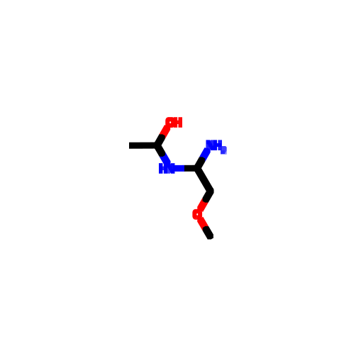 COCC(N)NC(C)O